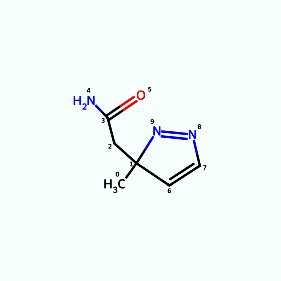 CC1(CC(N)=O)C=CN=N1